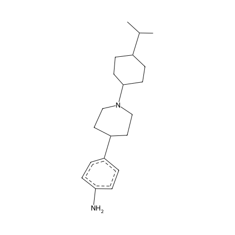 CC(C)C1CCC(N2CCC(c3ccc(N)cc3)CC2)CC1